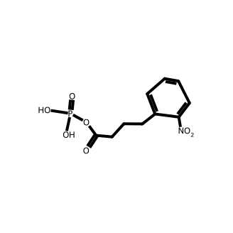 O=C(CCCc1ccccc1[N+](=O)[O-])OP(=O)(O)O